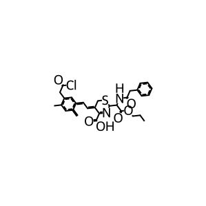 C=c1cc(C)c(CC(=O)Cl)c/c1=C/C=C1\CSC(C(NC(=O)Cc2ccccc2)C(=O)OCCC)N=C1C(=O)O